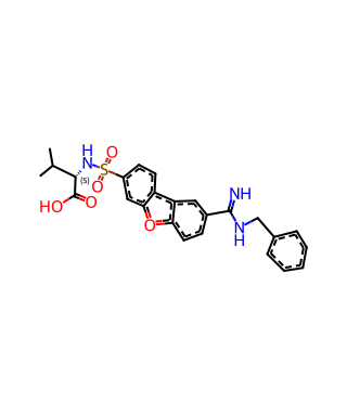 CC(C)[C@H](NS(=O)(=O)c1ccc2c(c1)oc1ccc(C(=N)NCc3ccccc3)cc12)C(=O)O